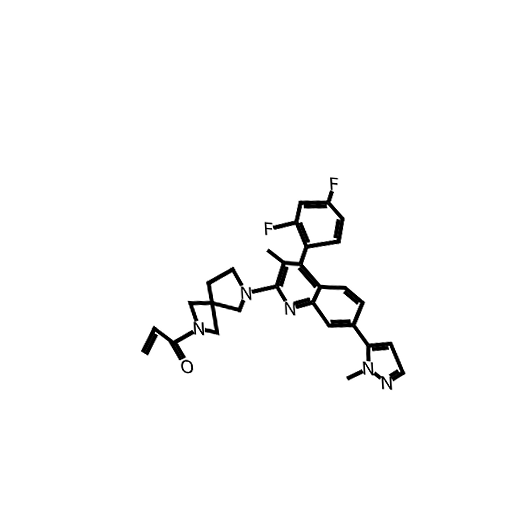 C=CC(=O)N1CC2(CCN(c3nc4cc(-c5ccnn5C)ccc4c(-c4ccc(F)cc4F)c3C)C2)C1